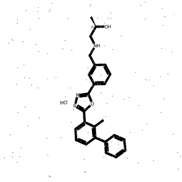 Cc1c(-c2ccccc2)cccc1-c1nnc(-c2cccc(CN[CH][C@@H](C)O)c2)o1.Cl